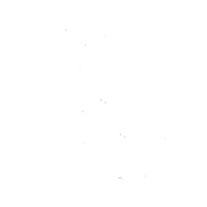 COC(=O)N(CCN(C)C)c1cccc(SC)n1